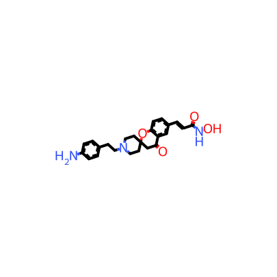 Nc1ccc(CCN2CCC3(CC2)CC(=O)c2cc(C=CC(=O)NO)ccc2O3)cc1